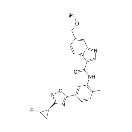 Cc1ccc(-c2nc([C@H]3C[C@@H]3F)no2)cc1NC(=O)c1cnc2cc(COC(C)C)ccn12